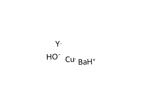 [BaH+].[Cu].[OH-].[Y]